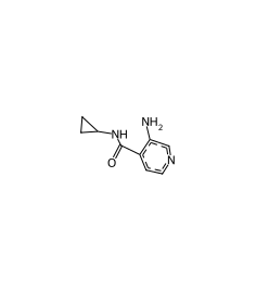 Nc1cnccc1C(=O)NC1CC1